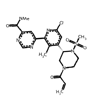 C=CC(=O)N1CCN(S(C)(=O)=O)[C@@H](c2cc(Cl)nc(-c3cc(C(=O)NC)ncn3)c2C)C1